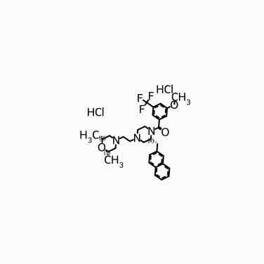 COc1cc(C(=O)N2CCN(CCN3C[C@@H](C)O[C@@H](C)C3)C[C@H]2Cc2ccc3ccccc3c2)cc(C(F)(F)F)c1.Cl.Cl